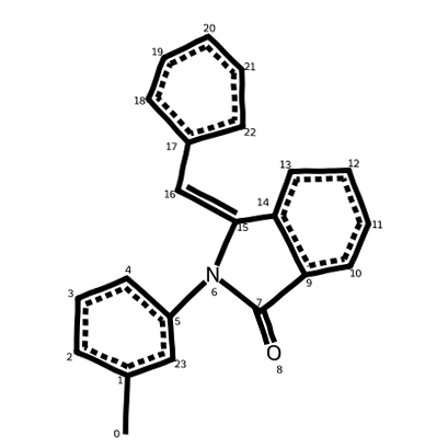 Cc1cccc(N2C(=O)c3ccccc3C2=Cc2ccccc2)c1